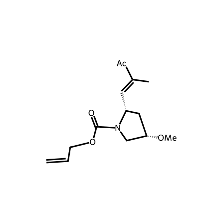 C=CCOC(=O)N1C[C@@H](OC)C[C@H]1C=C(C)C(C)=O